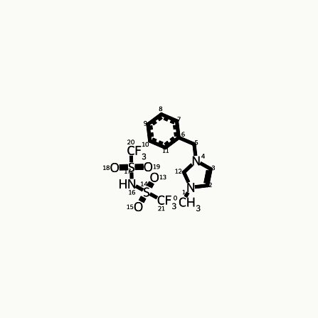 CN1C=CN(Cc2ccccc2)C1.O=S(=O)(NS(=O)(=O)C(F)(F)F)C(F)(F)F